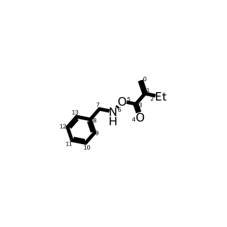 C=C(CC)C(=O)ONCc1ccccc1